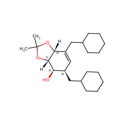 CC1(C)O[C@H]2[C@H](O)[C@H](CC3CCCCC3)C=C(CC3CCCCC3)[C@H]2O1